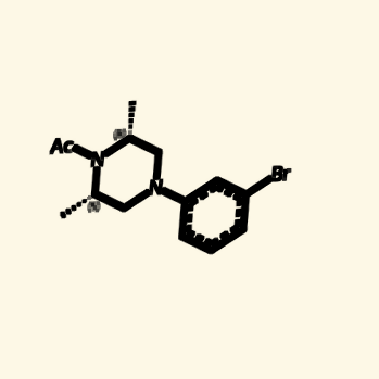 CC(=O)N1[C@H](C)CN(c2cccc(Br)c2)C[C@@H]1C